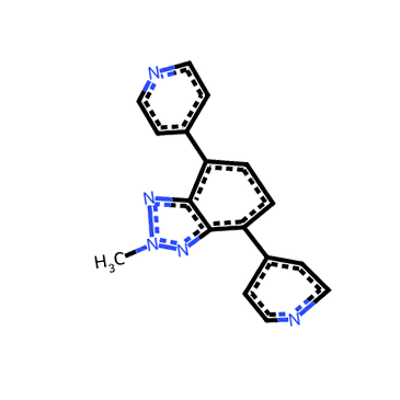 Cn1nc2c(-c3ccncc3)ccc(-c3ccncc3)c2n1